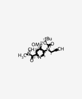 C#CCN(C(=O)OC(C)(C)C)c1cnc(C(=O)N(C)C)cc1OC